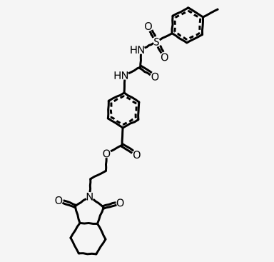 Cc1ccc(S(=O)(=O)NC(=O)Nc2ccc(C(=O)OCCN3C(=O)C4CCCCC4C3=O)cc2)cc1